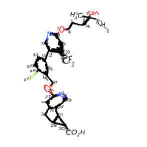 CC(C)(O)CCCOc1cc(C(F)(F)F)c(-c2ccc(F)c(COc3cc4c(cn3)C3C(C4)C3C(=O)O)c2)cn1